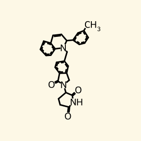 Cc1cccc(C2C=Cc3ccccc3N2Cc2ccc3c(c2)CN(C2CCC(=O)NC2=O)C3=O)c1